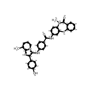 Cc1cccn2c(Nc3ccc(C(=O)Nc4ccc5c(c4)Sc4ccccc4C(=O)N5C)cc3)c(-c3ccc(O)cc3)nc12